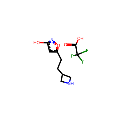 O=C(O)C(F)(F)F.Oc1cc(CCC2CNC2)on1